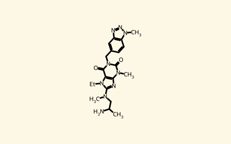 CCn1c(N(C)CC(C)N)nc2c1c(=O)n(Cc1ccc3c(c1)nnn3C)c(=O)n2C